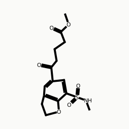 CNS(=O)(=O)c1cc(C(=O)CCCC(=O)OC)cc2c1OCC2